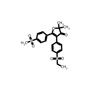 CCS(=O)(=O)c1ccc(C2=C(c3ccc(S(C)(=O)=O)cc3)OC(C)(C)C2=O)cc1